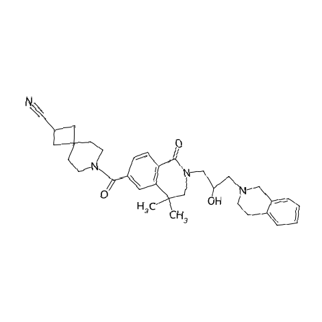 CC1(C)CN(CC(O)CN2CCc3ccccc3C2)C(=O)c2ccc(C(=O)N3CCC4(CC3)CC(C#N)C4)cc21